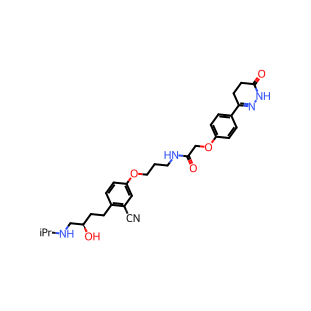 CC(C)NC[C@H](O)CCc1ccc(OCCCNC(=O)COc2ccc(C3=NNC(=O)CC3)cc2)cc1C#N